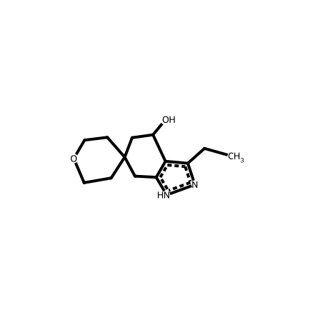 CCc1n[nH]c2c1C(O)CC1(CCOCC1)C2